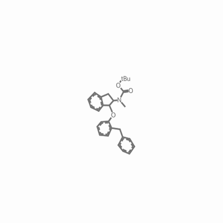 CN(C(=O)OC(C)(C)C)C1Cc2ccccc2C1Oc1ccccc1Cc1ccccc1